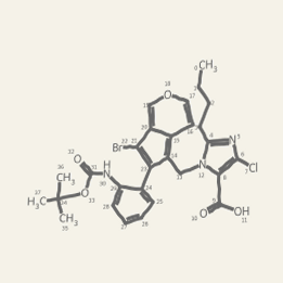 CCCCc1nc(Cl)c(C(=O)O)n1Cc1c2ccocc-2c(Br)c1-c1ccccc1NC(=O)OC(C)(C)C